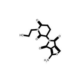 Nc1scc2c1C(=O)N(C1CCC(=O)N(CCO)C1=O)C2=O